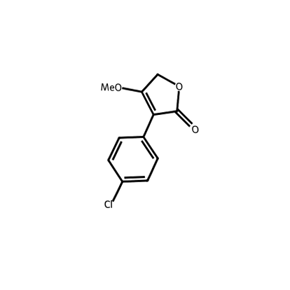 COC1=C(c2ccc(Cl)cc2)C(=O)OC1